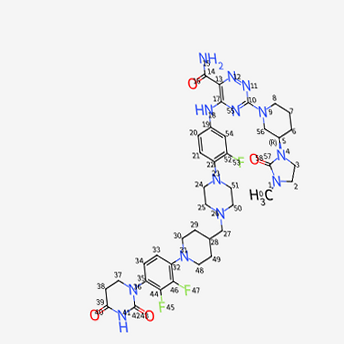 CN1CCN([C@@H]2CCCN(c3nnc(C(N)=O)c(Nc4ccc(N5CCN(CC6CCN(c7ccc(N8CCC(=O)NC8=O)c(F)c7F)CC6)CC5)c(F)c4)n3)C2)C1=O